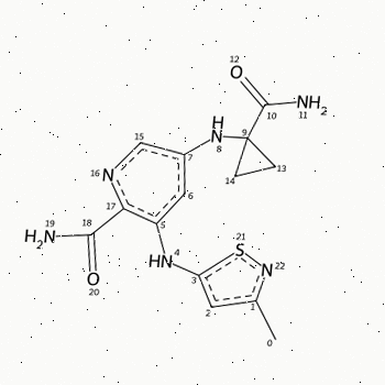 Cc1cc(Nc2cc(NC3(C(N)=O)CC3)cnc2C(N)=O)sn1